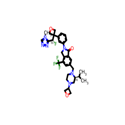 CC(C)[C@H]1CN(C2COC2)CCN1Cc1cc2c(c(C(F)(F)F)c1)CN(c1cccc(C3([C@H](F)c4nncn4C)COC3)c1)C2=O